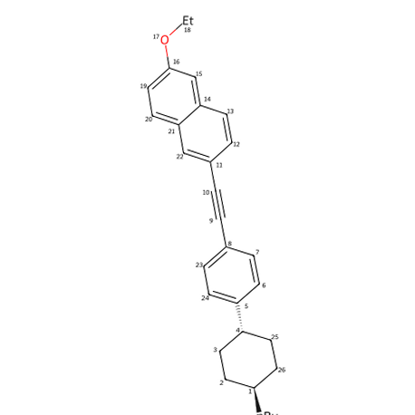 CCCC[C@H]1CC[C@H](c2ccc(C#Cc3ccc4cc(OCC)ccc4c3)cc2)CC1